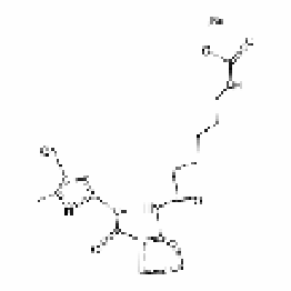 Cc1nc(NC(=O)c2ccccc2NC(=O)CCCCCNC(=O)OC(C)(C)C)sc1N=O